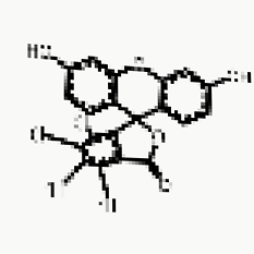 [2H]c1c([2H])c2c(c(Cl)c1Cl)C1(OC2=O)c2ccc(O)cc2Oc2cc(O)ccc21